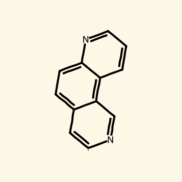 [c]1cc2ccc3ncccc3c2cn1